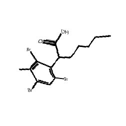 CCCCCC(C(=O)O)c1c(Br)cc(Br)c(C)c1Br